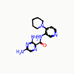 Nc1cnc(C(=O)Nc2cnccc2N2CCCCC2)c(N)n1